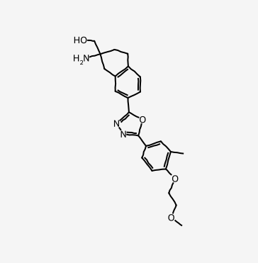 COCCOc1ccc(-c2nnc(-c3ccc4c(c3)CC(N)(CO)CC4)o2)cc1C